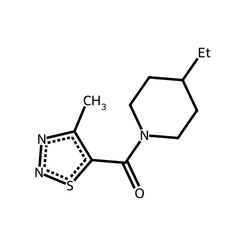 [CH2]CC1CCN(C(=O)c2snnc2C)CC1